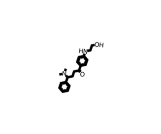 CN(C)C(CCC(=O)c1ccc(NCCO)cc1)c1ccccc1